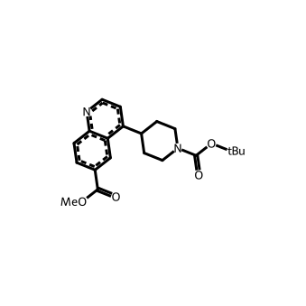 COC(=O)c1ccc2nccc(C3CCN(C(=O)OC(C)(C)C)CC3)c2c1